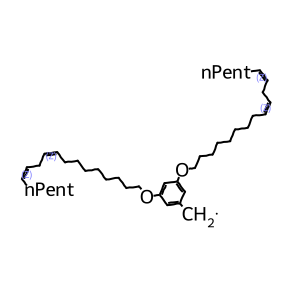 [CH2]c1cc(OCCCCCCCC/C=C\C/C=C\CCCCC)cc(OCCCCCCCC/C=C\C/C=C\CCCCC)c1